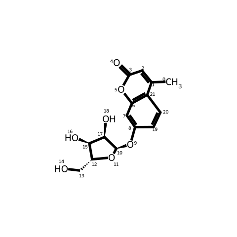 Cc1cc(=O)oc2cc(O[C@H]3O[C@H](CO)[C@@H](O)[C@H]3O)ccc12